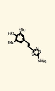 CSc1nnc(C=Cc2cc(C(C)(C)C)c(O)c(C(C)(C)C)c2)s1